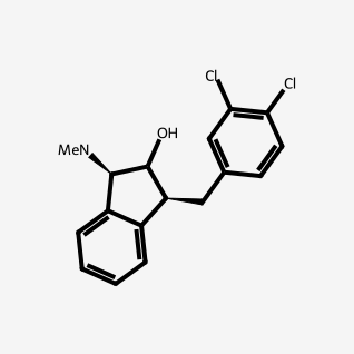 CN[C@@H]1c2ccccc2[C@H](Cc2ccc(Cl)c(Cl)c2)C1O